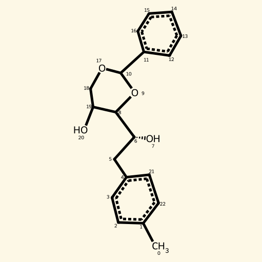 Cc1ccc(C[C@@H](O)C2OC(c3ccccc3)OCC2O)cc1